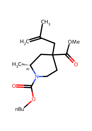 C=C(C)CC1(C(=O)OC)CCN(C(=O)OCCCC)[C@H](C)C1